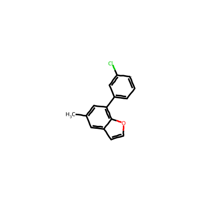 Cc1cc(-c2cc[c]c(Cl)c2)c2occc2c1